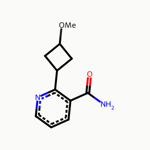 COC1CC(c2ncccc2C(N)=O)C1